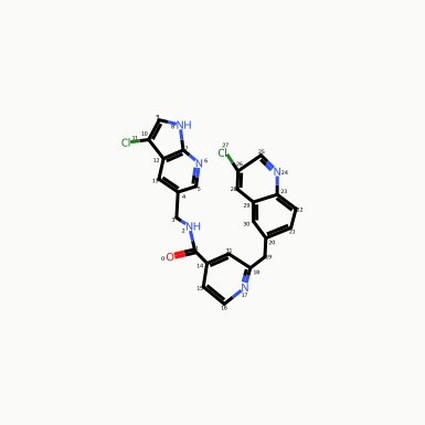 O=C(NCc1cnc2[nH]cc(Cl)c2c1)c1ccnc(Cc2ccc3ncc(Cl)cc3c2)c1